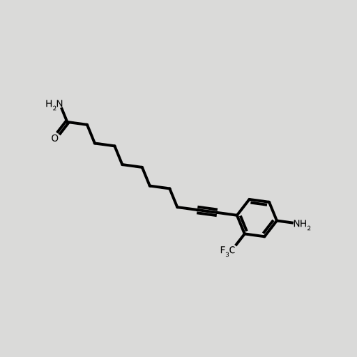 NC(=O)CCCCCCCCC#Cc1ccc(N)cc1C(F)(F)F